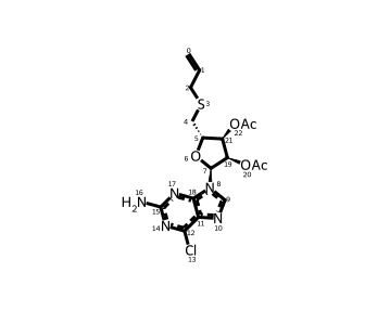 C=CCSC[C@H]1O[C@H](n2cnc3c(Cl)nc(N)nc32)[C@H](OC(C)=O)[C@@H]1OC(C)=O